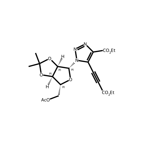 CCOC(=O)C#Cc1c(C(=O)OCC)nnn1[C@@H]1O[C@H](COC(C)=O)[C@H]2OC(C)(C)O[C@H]21